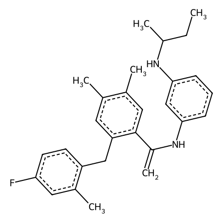 C=C(Nc1cccc(NC(C)CC)c1)c1cc(C)c(C)cc1Cc1ccc(F)cc1C